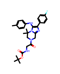 Cc1ccc(Nc2c(-c3ccc(F)cc3)nc3n2C(C)(C)CN(C(=O)CNC(=O)OC(C)(C)C)C3)cc1